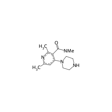 CNC(=O)c1c(N2CCNCC2)cc(C)nc1C